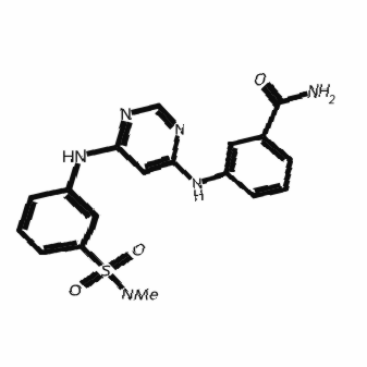 CNS(=O)(=O)c1cccc(Nc2cc(Nc3cccc(C(N)=O)c3)ncn2)c1